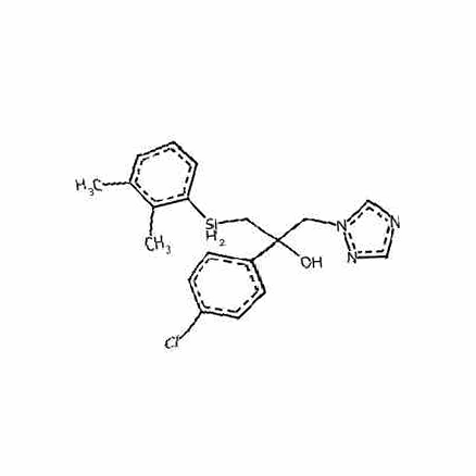 Cc1cccc([SiH2]CC(O)(Cn2cncn2)c2ccc(Cl)cc2)c1C